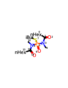 CCCCCCC(=O)N(C)P(=O)(SC(C)CC)N(C)C(=O)CCCCCC